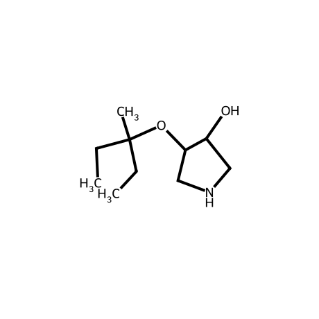 CCC(C)(CC)OC1CNCC1O